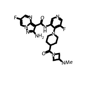 CNC1CN(C(=O)C2CCN(c3c(F)cncc3NC(=O)c3c(N)nn4cc(F)cnc34)CC2)C1